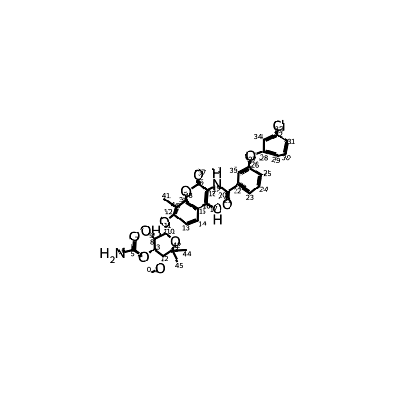 CO[C@@H]1[C@@H](OC(N)=O)[C@@H](O)[C@H](Oc2ccc3c(O)c(NC(=O)c4cccc(Oc5cccc(Cl)c5)c4)c(=O)oc3c2C)OC1(C)C